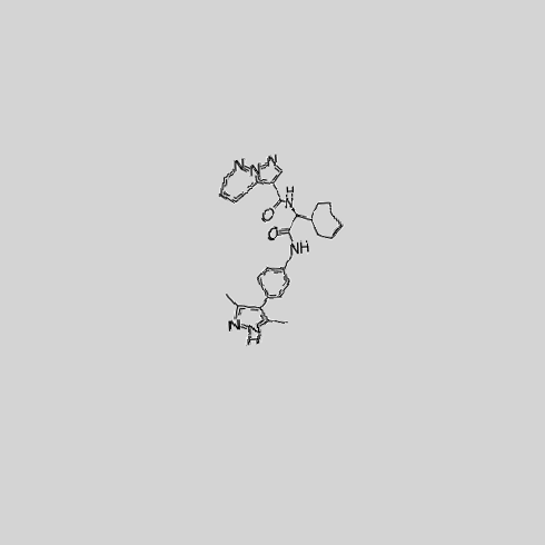 Cc1n[nH]c(C)c1-c1ccc(NC(=O)[C@@H](NC(=O)c2cnn3ncccc23)C2CCCCC2)cc1